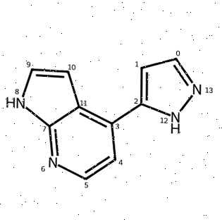 c1cc(-c2ccnc3[nH]ccc23)[nH]n1